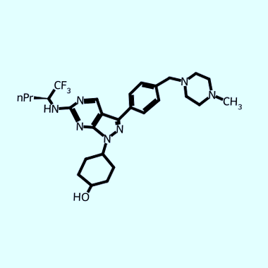 CCC[C@H](Nc1ncc2c(-c3ccc(CN4CCN(C)CC4)cc3)nn(C3CCC(O)CC3)c2n1)C(F)(F)F